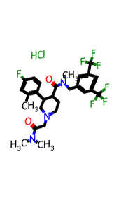 Cc1cc(F)ccc1C1CN(CC(=O)N(C)C)CCC1C(=O)N(C)Cc1cc(C(F)(F)F)cc(C(F)(F)F)c1.Cl